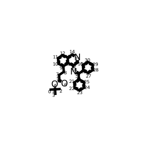 CC(C)(C)OC(=O)CCc1cccc2cncc(N=C(c3ccccc3)c3ccccc3)c12